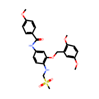 COc1ccc(C(=O)Nc2ccc(NCS(C)(=O)=O)c(OCc3cc(OC)ccc3OC)c2)cc1